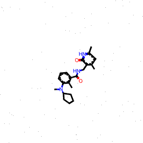 Cc1cc(C)c(CNC(=O)c2cccc(N(C)C3CCCC3)c2C)c(=O)[nH]1